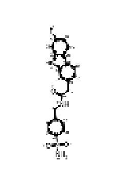 NS(=O)(=O)c1ccc(CNC(=O)Cc2ccc3c(c2)[nH]c2cc(F)ccc23)cc1